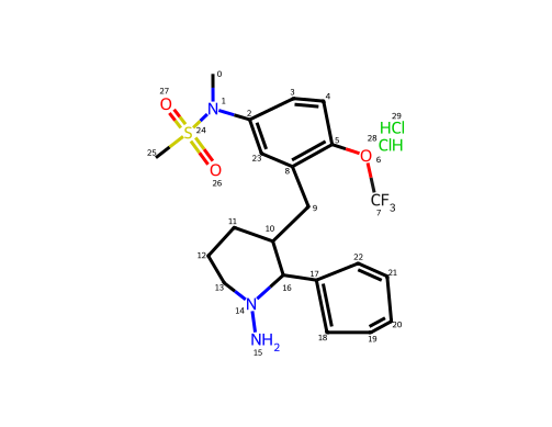 CN(c1ccc(OC(F)(F)F)c(CC2CCCN(N)C2c2ccccc2)c1)S(C)(=O)=O.Cl.Cl